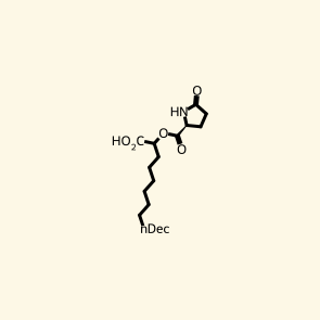 CCCCCCCCCCCCCCCCC(OC(=O)[C@@H]1CCC(=O)N1)C(=O)O